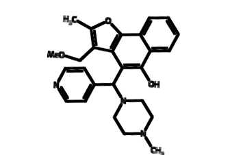 COCc1c(C)oc2c1c(C(c1ccncc1)N1CCN(C)CC1)c(O)c1ccccc12